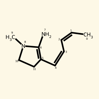 C/C=C\C=C/C1=C(N)N(C)CC1